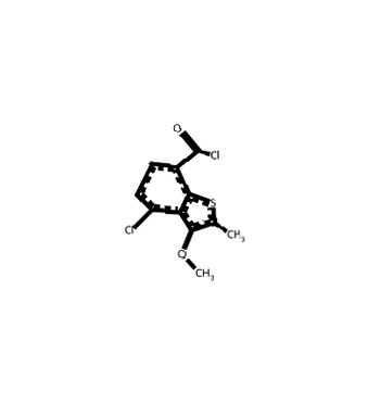 COc1c(C)sc2c(C(=O)Cl)ccc(Cl)c12